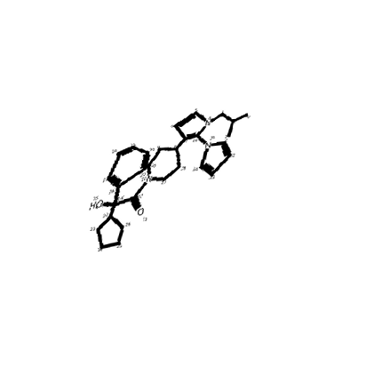 C[C](C)Cn1ccc(C2CCN(C(=O)C(O)(c3ccccc3)C3CCCC3)CC2)c1-n1cccc1